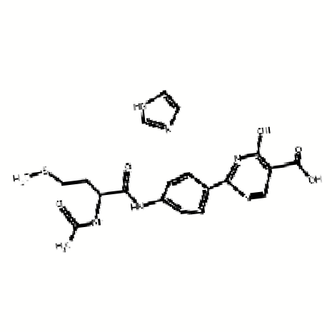 CSCCC(NC(C)=O)C(=O)Nc1ccc(-c2ncc(C(=O)O)c(O)n2)cc1.c1c[nH]cn1